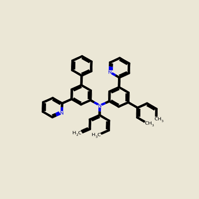 C=C/C=C(\C=C/C)N(c1cc(C(/C=C\C)=C/C)cc(-c2ccccn2)c1)c1cc(-c2ccccc2)cc(-c2ccccn2)c1